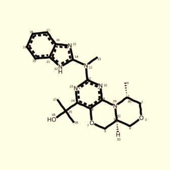 C[C@@H]1COC[C@H]2COc3c(nc(N(C)c4nc5ccccc5[nH]4)nc3C(C)(C)O)N21